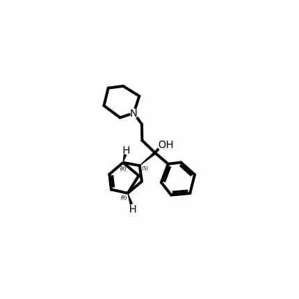 OC(CCN1CCCCC1)(c1ccccc1)[C@H]1C[C@@H]2C=C[C@H]1C2